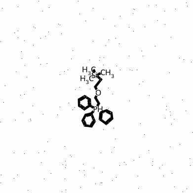 C[Si](C)(C)CCOCC[PH](c1ccccc1)(c1ccccc1)c1ccccc1